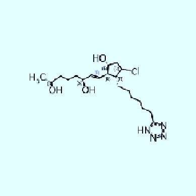 C[C@@H](O)CCC[C@H](O)/C=C/[C@@H]1[C@@H](CCCCCCc2nnn[nH]2)[C@H](Cl)C[C@H]1O